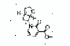 COC(=O)c1cccn([C@@H]2C[C@H]3CCO[C@H]32)c1=O